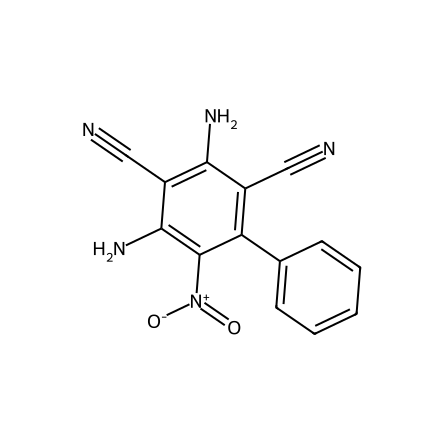 N#Cc1c(N)c(C#N)c(-c2ccccc2)c([N+](=O)[O-])c1N